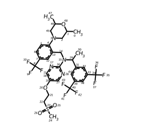 CC1CN(c2ccc(C(F)(F)F)cc2CN(c2ncc(OCCS(C)(=O)=O)cn2)C(C)c2cc(C(F)(F)F)cc(C(F)(F)F)c2)CC(C)O1